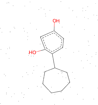 Oc1ccc(C2CCCCCC2)c(O)c1